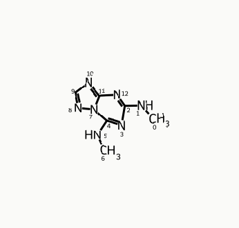 CNc1nc(NC)n2ncnc2n1